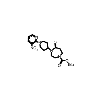 CC(C)(C)OC(=O)N1CCC(=O)N(C2CCN(c3ncccc3[N+](=O)[O-])CC2)CC1